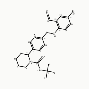 CC(C)(C)OC(=O)N1CCCCC1c1ccc(COc2ccc(Br)cc2C=O)nc1